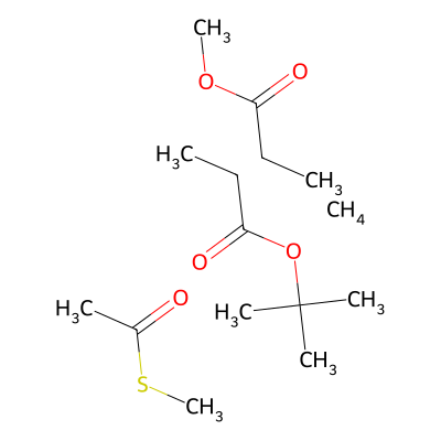 C.CCC(=O)OC.CCC(=O)OC(C)(C)C.CSC(C)=O